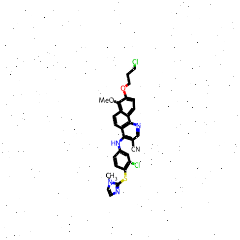 COc1c(OCCCCl)ccc2c1ccc1c(Nc3ccc(Sc4nccn4C)c(Cl)c3)c(C#N)cnc12